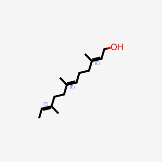 C/C=C(\C)CC/C(C)=C/CC/C(C)=C/CO